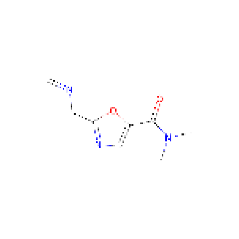 C=NCc1ncc(C(=O)N(C)C)o1